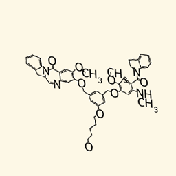 CNc1cc(OCc2cc(COc3cc4c(cc3OC)C(=O)N3c5ccccc5CC3C=N4)cc(OCCCCC=O)c2)c(OC)cc1C(=O)N1CCc2ccccc21